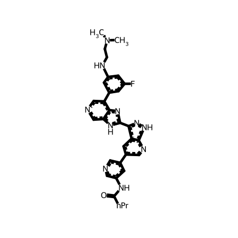 CCCC(=O)Nc1cncc(-c2cnc3[nH]nc(-c4nc5c(-c6cc(F)cc(NCCN(C)C)c6)cncc5[nH]4)c3c2)c1